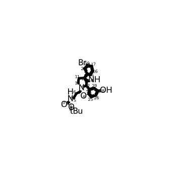 CC(C)(C)OC(=O)NCCC(=O)N1CCc2c([nH]c3ccc(Br)cc23)C1c1cccc(O)c1